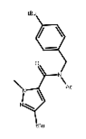 CC(=O)N(Cc1ccc(C(C)(C)C)cc1)C(=O)c1cc(C(C)(C)C)nn1C